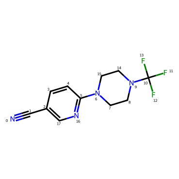 N#Cc1ccc(N2CCN(C(F)(F)F)CC2)nc1